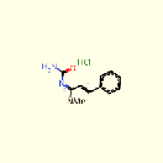 CNC(/C=C/c1ccccc1)=N/C(N)=O.Cl